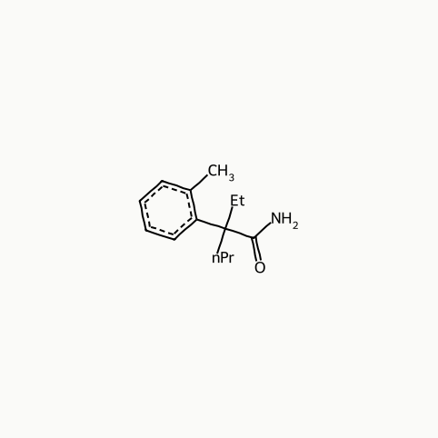 CCCC(CC)(C(N)=O)c1ccccc1C